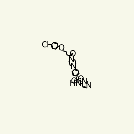 O=C(CCCOc1ccc(Cl)cc1)N1CCN(c2ccc(S(=O)(=O)Nc3ccncn3)cc2)CC1